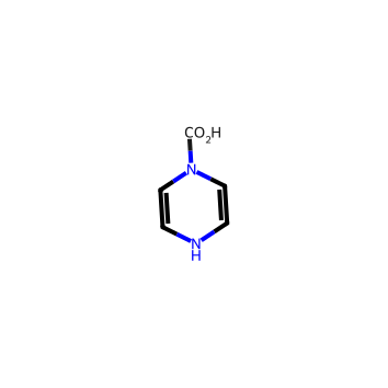 O=C(O)N1C=CNC=C1